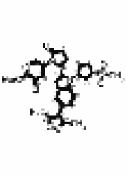 COc1ncc(N2C(=O)CC[C@H]2c2nc3cc(-c4c(C)noc4C)ccc3n2[C@@H]2CCN(S(C)(=O)=O)C2)cc1Cl